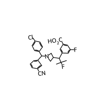 CC(C)(F)C(c1cc(F)cc(C(=O)O)c1)C1CN(C(c2ccc(Cl)cc2)c2cccc(C#N)c2)C1